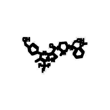 COc1ccccc1[C@@H](CO)N1CCN(C(=O)c2cnn3c(C(F)(F)F)c(C)c(-c4ccc(CO)cc4)nc23)[C@H](C)C1